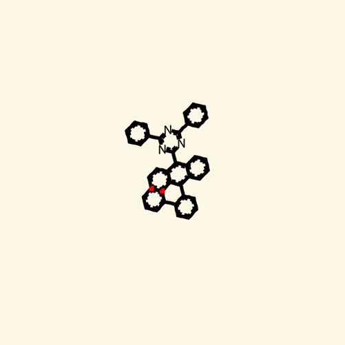 c1ccc(-c2nc(-c3ccccc3)nc(-c3c4ccccc4c(-c4ccccc4-c4ccccc4)c4ccccc34)n2)cc1